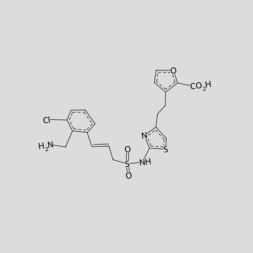 NCc1c(Cl)cccc1C=CCS(=O)(=O)Nc1nc(CCc2ccoc2C(=O)O)cs1